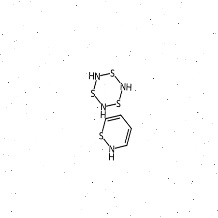 C1=CNSC=C1.N1SNSNS1